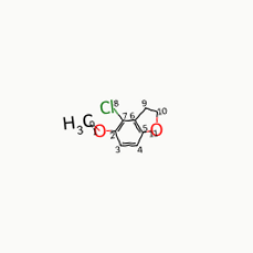 COc1ccc2c(c1Cl)CCO2